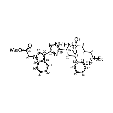 CCN(CC)CCCS(=O)(=O)N[C@H](CCc1ccccc1)c1nc(-c2cn(CC(=O)OC)c3ccccc23)n[nH]1